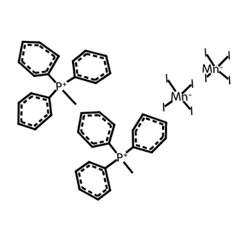 C[P+](c1ccccc1)(c1ccccc1)c1ccccc1.C[P+](c1ccccc1)(c1ccccc1)c1ccccc1.[I][Mn-]([I])([I])[I].[I][Mn-]([I])([I])[I]